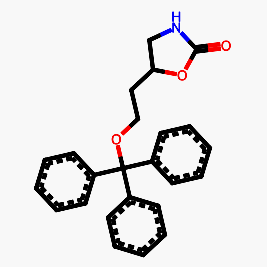 O=C1NCC(CCOC(c2ccccc2)(c2ccccc2)c2ccccc2)O1